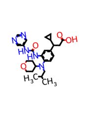 CC(C)CN(c1ccc(C(CC(=O)O)C2CC2)cc1NC(=O)Nc1cncnc1)C1CCOCC1